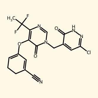 CC(F)(F)c1ncn(Cc2cc(Cl)n[nH]c2=O)c(=O)c1OC1=CCCC(C#N)=C1